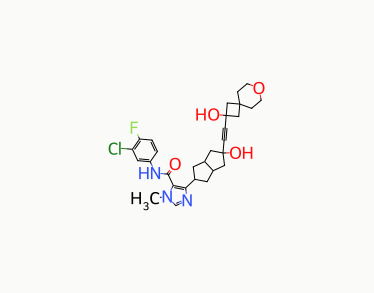 Cn1cnc(C2CC3CC(O)(C#CC4(O)CC5(CCOCC5)C4)CC3C2)c1C(=O)Nc1ccc(F)c(Cl)c1